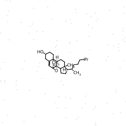 CC(C)CCC[C@@H](C)[C@H]1CC[C@@H]2[C@]1(C)CC[C@H]1[C@@]23O[C@@H]3C=C2C[C@@H](O)CC[C@@]21C